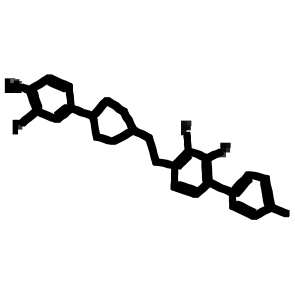 CCc1ccc(C2CCC(CCc3ccc(-c4ccc(C)cc4)c(F)c3F)CC2)cc1F